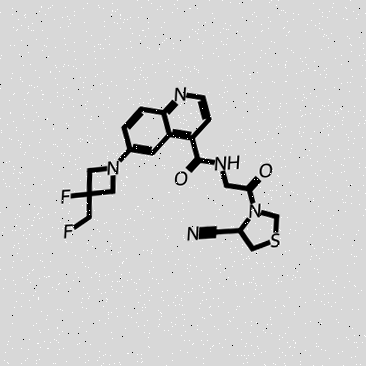 N#CC1CSCN1C(=O)CNC(=O)c1ccnc2ccc(N3CC(F)(CF)C3)cc12